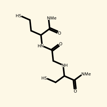 CNC(=O)C(CS)NCC(=O)NC(CCS)C(=O)NC